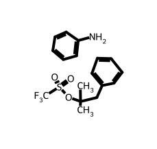 CC(C)(Cc1ccccc1)OS(=O)(=O)C(F)(F)F.Nc1ccccc1